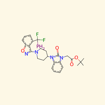 CC(C)(C)OC(=O)Cn1c(=O)n(C2CCN(c3noc4cccc(C(F)(F)P)c34)CC2)c2ccccc21